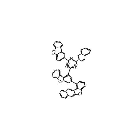 c1ccc2cc(-c3nc(-c4ccc5oc6ccccc6c5c4)nc(-c4cc(-c5cccc6oc7cc8ccccc8cc7c56)cc5oc6ccccc6c45)n3)ccc2c1